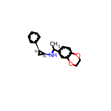 CC(N[C@H]1C[C@H]1c1ccccc1)c1ccc2c(c1)OCCO2